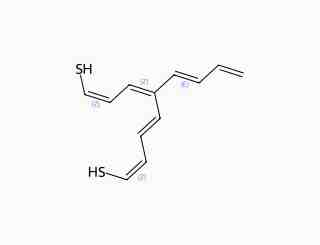 C=C/C=C/C(C=C/C=C\S)=C/C=C\S